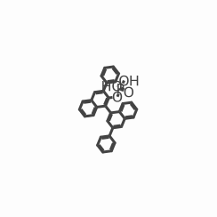 O=P(O)(O)Oc1c(-c2ccccc2)cc2ccccc2c1-c1cc(-c2ccccc2)cc2ccccc12